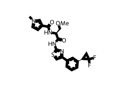 COC[C@H](NC(=O)c1ccn(C)c1)C(=O)Nc1nc(-c2cccc([C@@H]3CC3(F)F)c2)cs1